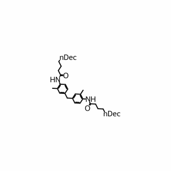 CCCCCCCCCCCCCC(=O)Nc1ccc(Cc2ccc(NC(=O)CCCCCCCCCCCCC)c(C)c2)cc1C